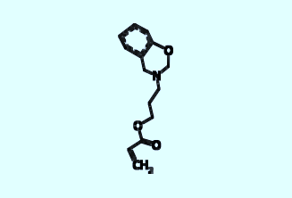 C=CC(=O)OCCCN1COc2ccccc2C1